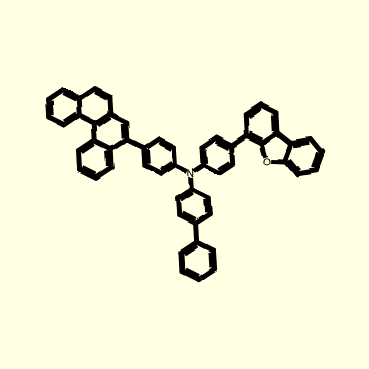 c1ccc(-c2ccc(N(c3ccc(-c4cc5ccc6ccccc6c5c5ccccc45)cc3)c3ccc(-c4cccc5c4oc4ccccc45)cc3)cc2)cc1